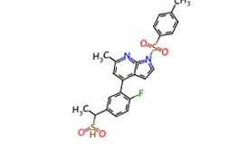 Cc1ccc(S(=O)(=O)n2ccc3c(-c4cc(C(C)[SH](=O)=O)ccc4F)cc(C)nc32)cc1